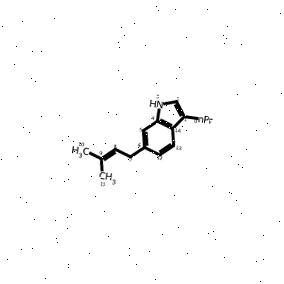 CCCc1c[nH]c2cc(CC=C(C)C)ccc12